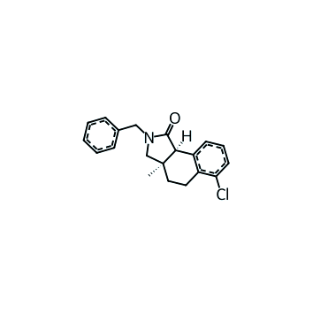 C[C@@]12CCc3c(Cl)cccc3[C@@H]1C(=O)N(Cc1ccccc1)C2